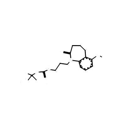 COc1cccc2c1CCCC(=O)N2CCCNC(=O)OC(C)(C)C